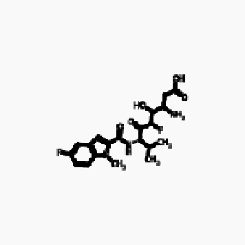 CC(C)[C@H](NC(=O)c1cc2cc(F)ccc2n1C)C(=O)C(F)C(O)C(N)CC(=O)O